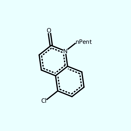 CCCCCn1c(=O)ccc2c(Cl)cccc21